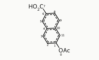 CC(=O)Oc1ccc2cc(C(=O)O)ccc2c1